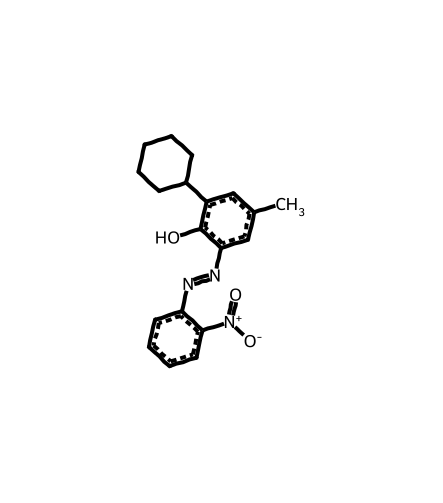 Cc1cc(N=Nc2ccccc2[N+](=O)[O-])c(O)c(C2CCCCC2)c1